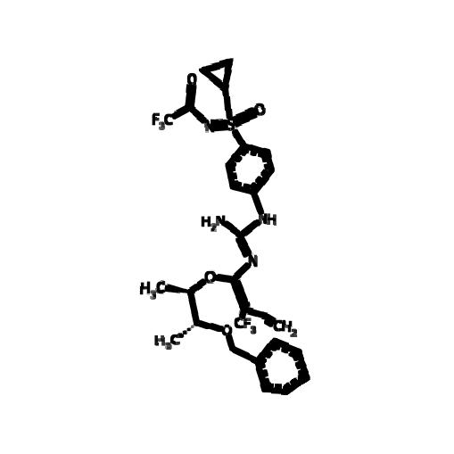 C=C/C(=C(\N=C(/N)Nc1ccc(S(=O)(=NC(=O)C(F)(F)F)C2CC2)cc1)O[C@H](C)[C@@H](C)OCc1ccccc1)C(F)(F)F